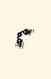 CCNC(=O)N1C(C)(C)CC(Cc2ccc(CC3CC(C)(C)N(C(=O)NCC)C(C)(C)C3)cc2)CC1(C)C